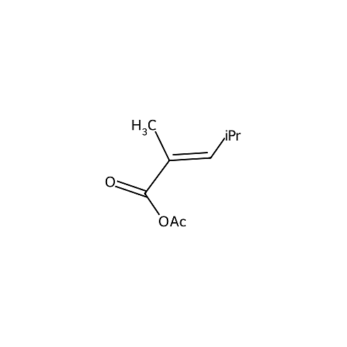 CC(=O)OC(=O)C(C)=CC(C)C